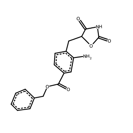 Nc1cc(C(=O)OCc2ccccc2)ccc1CC1OC(=O)NC1=O